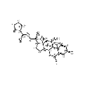 CC12CC(O)[C@@]3(F)C(C[C@H](F)C4=CC(=O)C=CC43C)C1CCC2C(=O)COC(=O)C1CCCN1